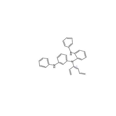 C=C/C=C(\C=C)N(c1cccc(Nc2ccccc2)c1)c1ccccc1Bc1ccccc1